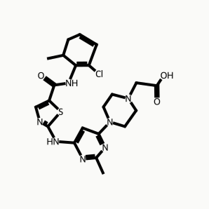 Cc1nc(Nc2ncc(C(=O)NC3=C(Cl)C=CCC3C)s2)cc(N2CCN(CC(=O)O)CC2)n1